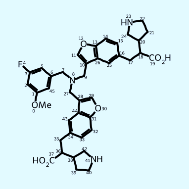 COc1cc(F)cc(CN(Cc2coc3ccc(CC(C(=O)O)C4CCNC4)cc23)Cc2coc3ccc(CC(C(=O)O)C4CCNC4)cc23)c1